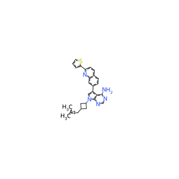 C[As](C)CC1CC(n2cc(-c3ccc4ccc(-c5cccs5)nc4c3)c3c(N)ncnc32)C1